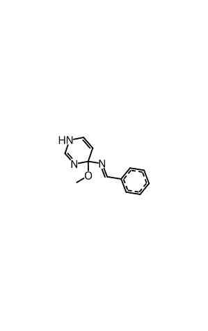 COC1(/N=C/c2ccccc2)C=CNC=N1